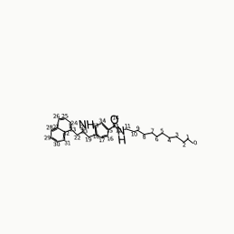 CCCCCCCCCCCCNC(=O)c1ccc(CC([NH])Cc2cccc3ccccc23)cc1